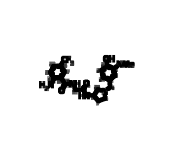 CNc1cc(CN2CCC(NC(=O)CNC(=O)c3cc(C(F)(F)F)ccc3N)C2)ccc1O